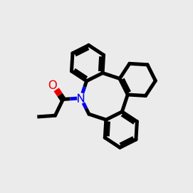 CCC(=O)N1Cc2ccccc2C2=C(CCCC2)c2ccccc21